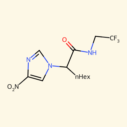 CCCCCCC(C(=O)NCC(F)(F)F)n1cnc([N+](=O)[O-])c1